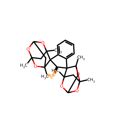 CC12CC3(C)OC(CC(C)(O1)C3(CP)c1ccccc1C1(CP)C3(C)CC4(C)OC(CC1(C)O4)O3)O2